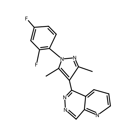 Cc1nn(-c2ccc(F)cc2F)c(C)c1-c1nncc2ncccc12